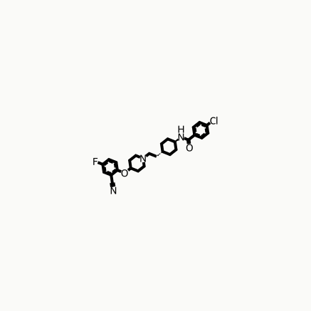 N#Cc1cc(F)ccc1OC1CCN(CC[C@H]2CC[C@H](NC(=O)c3ccc(Cl)cc3)CC2)CC1